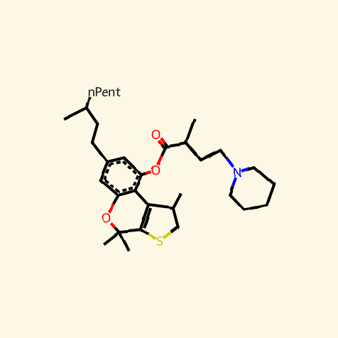 CCCCCC(C)CCc1cc(OC(=O)C(C)CCN2CCCCC2)c2c(c1)OC(C)(C)C1=C2C(C)CS1